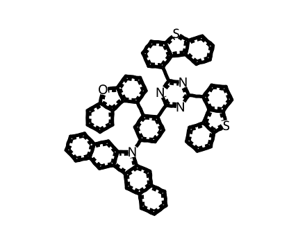 c1ccc2cc3c(cc2c1)c1cc2ccccc2cc1n3-c1ccc(-c2nc(-c3cccc4sc5ccccc5c34)nc(-c3cccc4sc5ccccc5c34)n2)c(-c2cccc3oc4ccccc4c23)c1